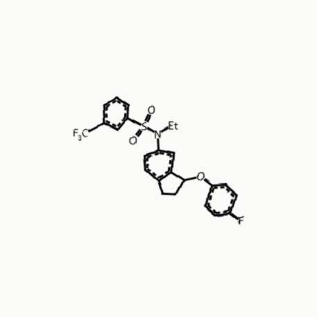 CCN(c1ccc2c(c1)C(Oc1ccc(F)cc1)CC2)S(=O)(=O)c1cccc(C(F)(F)F)c1